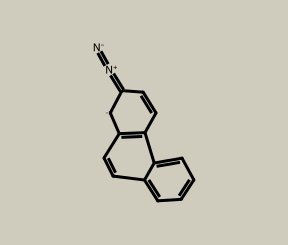 [N-]=[N+]=C1[CH]c2ccc3ccccc3c2C=C1